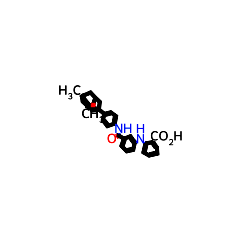 CC12CC3CC(C)(C1)CC(c1ccc(NC(=O)c4cccc(Nc5ccccc5C(=O)O)c4)cc1)(C3)C2